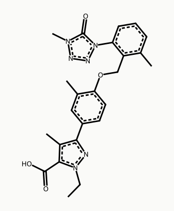 CCn1nc(-c2ccc(OCc3c(C)cccc3-n3nnn(C)c3=O)c(C)c2)c(C)c1C(=O)O